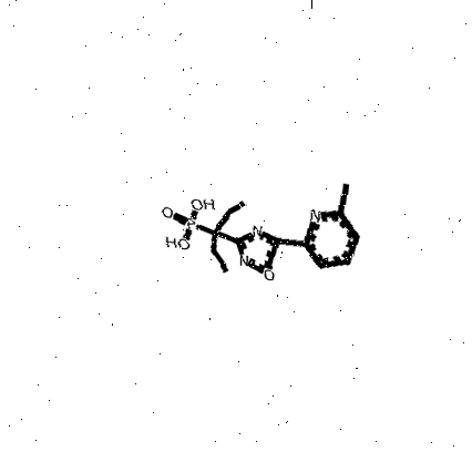 CCC(CC)(c1noc(-c2cccc(C)n2)n1)P(=O)(O)O